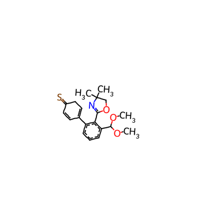 COC(OC)c1cccc(C2=CCC(=S)C=C2)c1C1=NC(C)(C)CO1